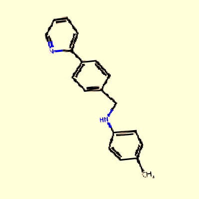 Cc1ccc(NCc2ccc(-c3ccccn3)cc2)cc1